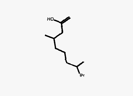 C=C(O)CC(C)CCCC(C)C(C)C